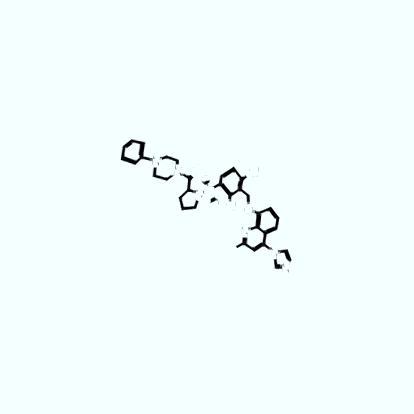 Cc1cc(-n2ccnc2)c2cccc(OCc3c(Cl)ccc(S(=O)(=O)N4CCCC4C(=O)N4CCN(c5ccccc5)CC4)c3Cl)c2n1